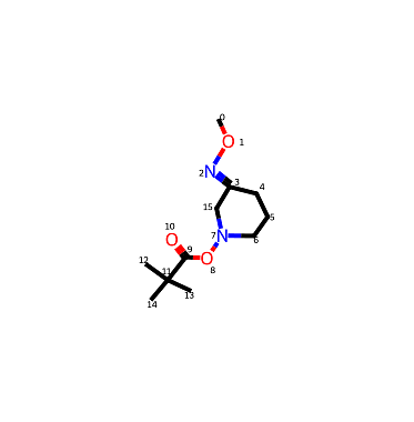 CON=C1CCCN(OC(=O)C(C)(C)C)C1